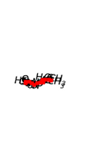 CC(C)(C)OC(=O)N1CCC(OCc2noc(-c3cc4cc([SH](=O)=O)ccc4o3)n2)CC1